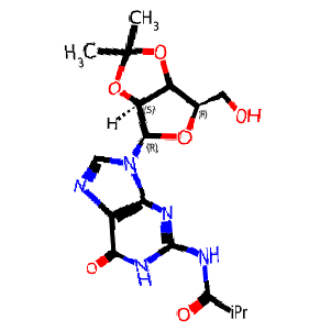 CC(C)C(=O)Nc1nc2c(ncn2[C@@H]2O[C@H](CO)C3OC(C)(C)O[C@@H]32)c(=O)[nH]1